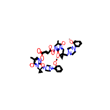 COc1ccccc1N1CCN(CC2(Cn3c(=O)c(C)cn(OC(=O)/C=C/C(=O)On4cc(C)c(=O)n(CC5(CN6CCN(c7ccccc7OC)CC6)CC5)c4=O)c3=O)CC2)CC1